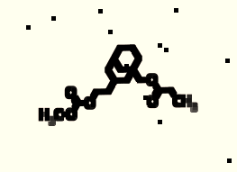 CCC(=O)OCC12CCCC(CC(CCOC(=O)OC)C1)C2